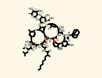 CCCCCCCC(C)C(=O)NC(=O)C[C@@H]1NC(=O)[C@H](NC(=O)[C@@H](CC(C)C)NC)[C@H](O)c2ccc(c(C)c2)Oc2cc3cc(c2O[C@@H]2O[C@H](CO)[C@@H](O)[C@H](O)[C@H]2O[C@H]2C[C@](C)(N)[C@H](O)[C@H](C)O2)Oc2ccc(cc2Cl)[C@@H](O)[C@@H]2NC(=O)[C@H](NC(=O)[C@@H]3NC1=O)c1ccc(O)c(c1)-c1c(O)cc(O)cc1[C@@H](C(=O)NC1C3CC4CC(C3)CC1C4)NC2=O